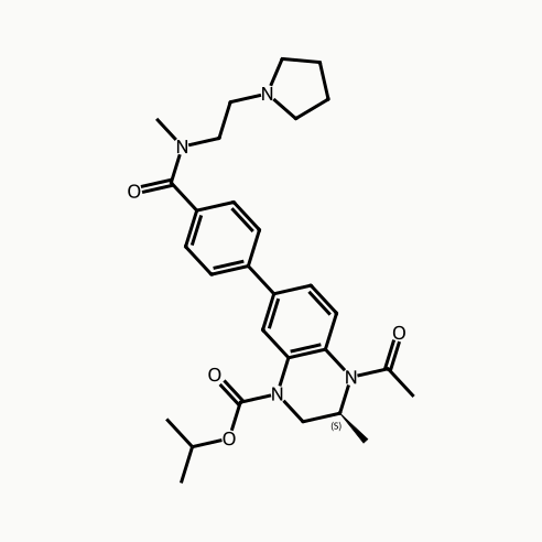 CC(=O)N1c2ccc(-c3ccc(C(=O)N(C)CCN4CCCC4)cc3)cc2N(C(=O)OC(C)C)C[C@@H]1C